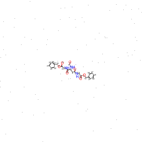 O=CNC(CC(=O)NCC(=O)OCc1ccccc1)C(=O)NCC(=O)OCc1ccccc1